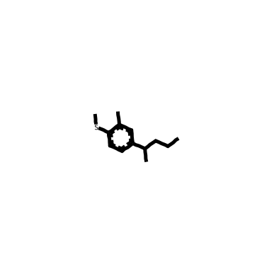 CCC[C](C)c1ccc(SC)c(C)c1